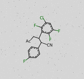 CC(=O)CC(c1c(F)c(F)cc(Cl)c1F)C(C#N)c1ccc(F)cc1